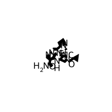 CC[C@H]1CN(C(=O)C2(C#N)CC2)C[C@H]1Nc1c(C(N)=O)cnn2cc(-c3ccnn3C)nc12